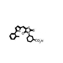 Cc1ccccc1-c1ccc(C=C2SC(=S)N(C3CCCC(C(=O)O)C3)C2=O)s1